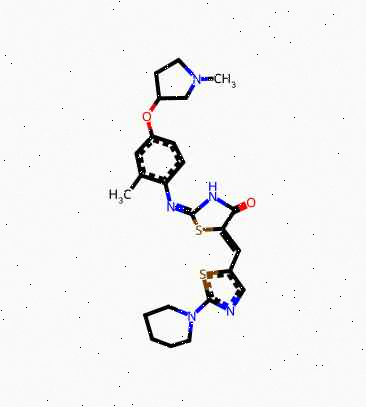 Cc1cc(OC2CCN(C)C2)ccc1N=C1NC(=O)C(=Cc2cnc(N3CCCCC3)s2)S1